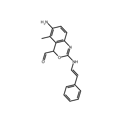 Cc1c(N)ccc2c1C(C=O)OC(NC=Cc1ccccc1)=N2